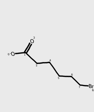 [O]C(=O)CCCCCBr